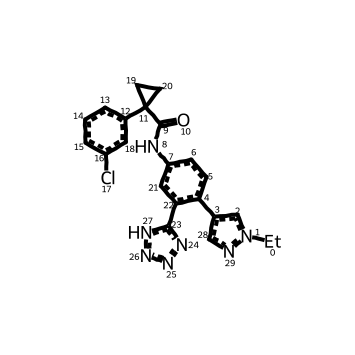 CCn1cc(-c2ccc(NC(=O)C3(c4cccc(Cl)c4)CC3)cc2-c2nnn[nH]2)cn1